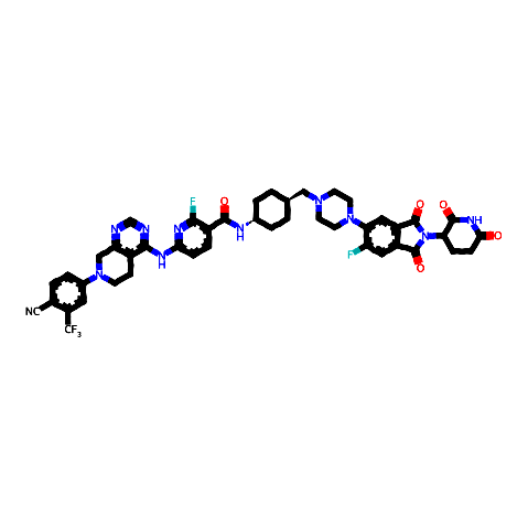 N#Cc1ccc(N2CCc3c(ncnc3Nc3ccc(C(=O)N[C@H]4CC[C@H](CN5CCN(c6cc7c(cc6F)C(=O)N(C6CCC(=O)NC6=O)C7=O)CC5)CC4)c(F)n3)C2)cc1C(F)(F)F